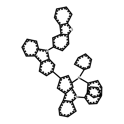 c1ccc(N(c2ccccc2)c2cc(-c3ccc4c5ccccc5n(-c5ccc6sc7ccccc7c6c5)c4c3)cc3c4ccccc4n(-c4ccccc4)c23)cc1